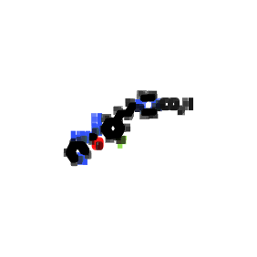 O=C(Nc1cccnc1)Nc1cc(F)cc(CCCN2CCN(C(=O)O)CC2)c1